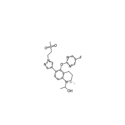 CC(O)N1c2ccc(-c3cnn(CCS(C)(=O)=O)c3)c(Oc3ncc(F)cn3)c2CC[C@@H]1C